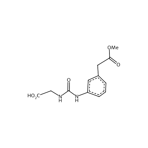 COC(=O)Cc1cccc(NC(=O)NCC(=O)O)c1